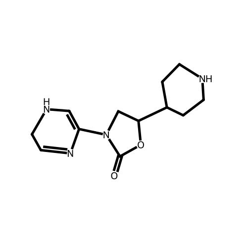 O=C1OC(C2CCNCC2)CN1C1=CNCC=N1